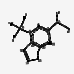 CC(C)c1cc(C(F)(F)F)c2c(n1)CC=C2